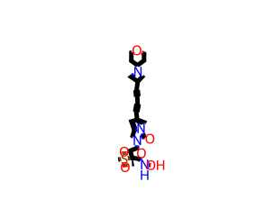 C[C@@](CCN1Cc2cc(C#CC#CC3CN(C4CCOCC4)C3)cn2C1=O)(C(=O)NO)S(C)(=O)=O